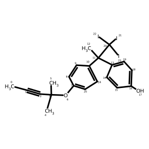 CC#CC(C)(C)Oc1ccc(C(C)(c2ccc(O)cc2)C(I)(I)I)cc1